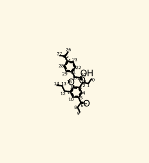 CCCc1cc(C(=O)CC)cc(CCC)c1OC(C(=O)O)c1ccc(C(C)C)cc1